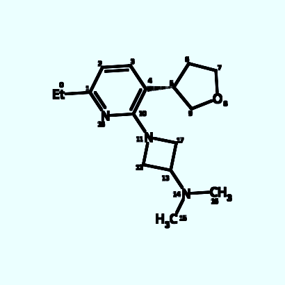 CCc1ccc([C@@H]2CCOC2)c(N2CC(N(C)C)C2)n1